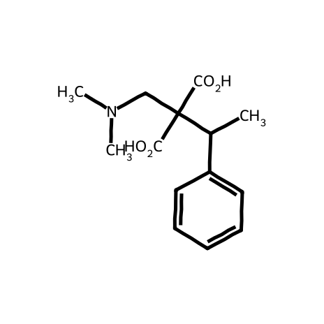 CC(c1ccccc1)C(CN(C)C)(C(=O)O)C(=O)O